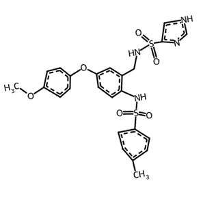 COc1ccc(Oc2ccc(NS(=O)(=O)c3ccc(C)cc3)c(CNS(=O)(=O)c3c[nH]cn3)c2)cc1